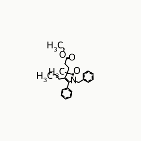 CCCC1=C(c2ccccc2)N(Cc2ccccc2)C(=O)C1(C)CCC(=O)OCC